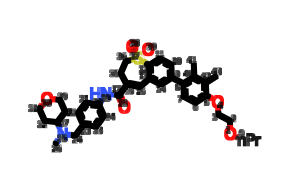 CCCOCCOc1ccc(-c2ccc3c(c2)C=C(C(=O)Nc2ccc(CN(C)C4CCOCC4)cc2)CCS3(=O)=O)c(C)c1C